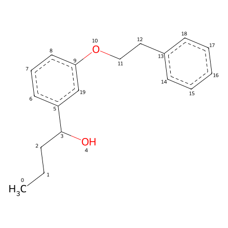 CCCC(O)c1cccc(OCCc2ccccc2)c1